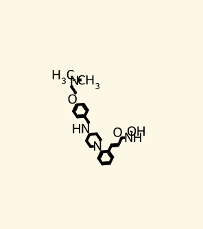 CN(C)CCOc1ccc(CNC2CCN(c3ccccc3C=CC(=O)NO)CC2)cc1